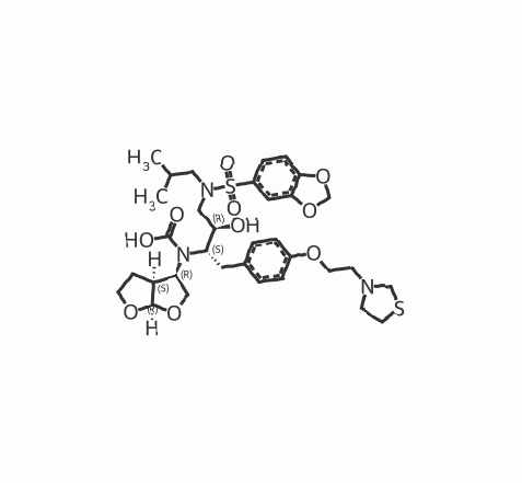 CC(C)CN(C[C@@H](O)[C@H](Cc1ccc(OCCN2CCSC2)cc1)N(C(=O)O)[C@H]1CO[C@H]2OCC[C@H]21)S(=O)(=O)c1ccc2c(c1)OCO2